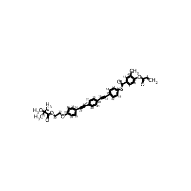 C=CC(=O)Oc1ccc(C(=O)Sc2ccc(C#Cc3ccc(C#Cc4ccc(OCCOC(=O)C(C)(C)C)cc4)cc3)cc2)cc1C